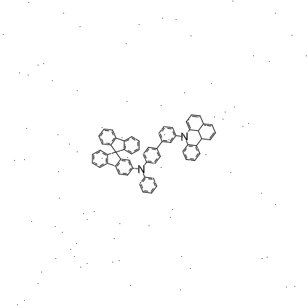 C1=CC2=CC=CC3c4ccccc4N(c4cccc(-c5ccc(N(c6ccccc6)c6ccc7c(c6)C6(c8ccccc8-c8ccccc86)c6ccccc6-7)cc5)c4)C(=C1)C23